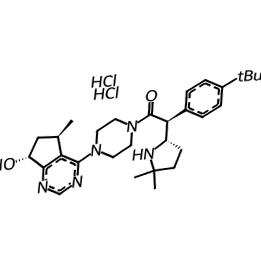 C[C@@H]1C[C@@H](O)c2ncnc(N3CCN(C(=O)[C@@H](c4ccc(C(C)(C)C)cc4)[C@@H]4CCC(C)(C)N4)CC3)c21.Cl.Cl